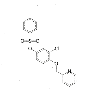 Cc1ccc(S(=O)(=O)Oc2ccc(OCc3ccccn3)c(Cl)c2)cc1